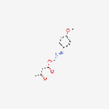 COc1ccc(N=NCOC(=O)CC(C)=O)cc1